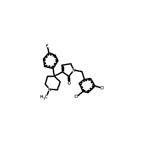 CN1CCC(C2=CCN(Cc3cc(Cl)cc(Cl)c3)C2=O)(c2ccc(F)cc2)CC1